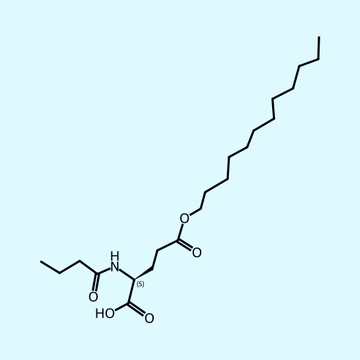 CCCCCCCCCCCCOC(=O)CC[C@H](NC(=O)CCC)C(=O)O